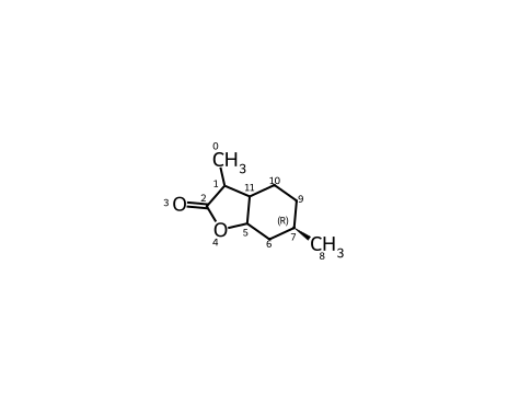 CC1C(=O)OC2C[C@H](C)CCC21